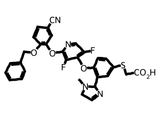 CN1CC=NC1c1cc(SCC(=O)O)ccc1Oc1c(F)cnc(Oc2cc(C#N)ccc2OCc2ccccc2)c1F